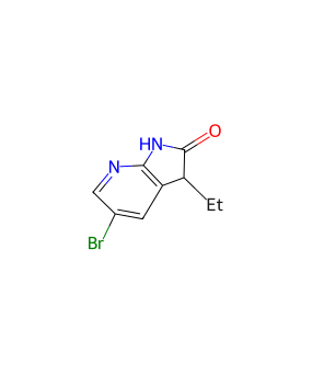 CCC1C(=O)Nc2ncc(Br)cc21